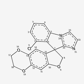 Clc1cccc2c1C1(COc3cc4c(cc31)OCCO4)c1nccn1-2